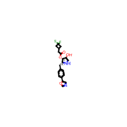 O=C(CC1CC(F)(F)C1)O[C@@H]1[C@@H](O)CN[C@@H]1Cc1ccc(-c2cnco2)cc1